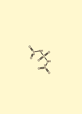 O=[SH](=O)NS(=O)(=O)N[SH](=O)=O